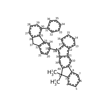 CC1(C)c2ccccc2-c2cc3c4ccccc4n(-c4ccc5c(c4)-c4c(cccc4-c4ccccc4)C5)c3cc21